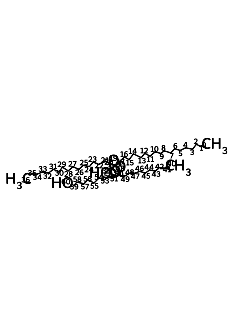 CCCCCCCCCCCCCCCCCC(=O)OC(CCCCCCCCCCCCCCCC)C(=O)O.CCCCCCCCCCCCCCCCCCCCO